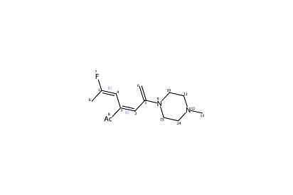 C=C(/C=C(\C=C(/C)F)C(C)=O)N1CCN(C)CC1